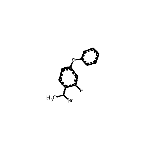 CC(Br)c1ccc(Oc2ccccc2)cc1F